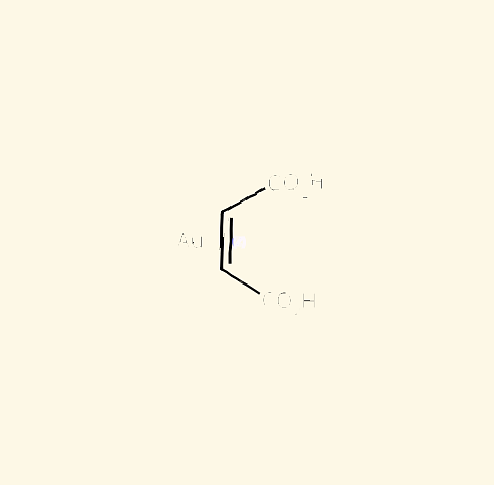 O=C(O)/C=C\C(=O)O.[Au]